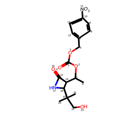 CC(OC(=O)OCc1ccc([N+](=O)[O-])cc1)C1C(=O)NC1C(C)(C)CO